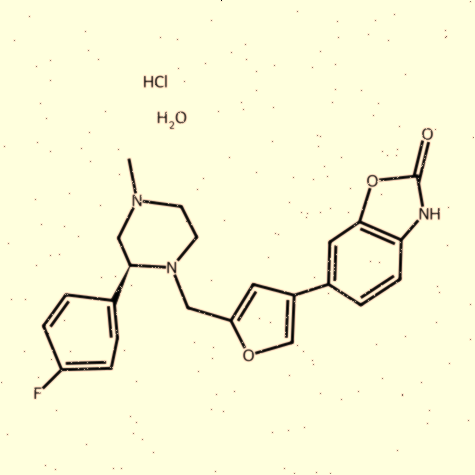 CN1CCN(Cc2cc(-c3ccc4[nH]c(=O)oc4c3)co2)[C@@H](c2ccc(F)cc2)C1.Cl.O